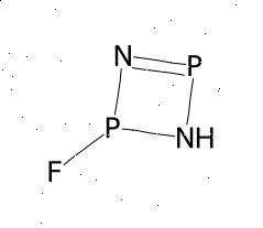 Fp1np[nH]1